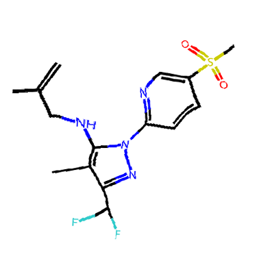 C=C(C)CNc1c(C)c(C(F)F)nn1-c1ccc(S(C)(=O)=O)cn1